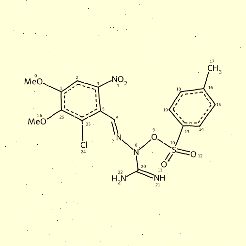 COc1cc([N+](=O)[O-])c(C=NN(OS(=O)(=O)c2ccc(C)cc2)C(=N)N)c(Cl)c1OC